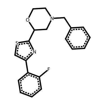 Fc1ccccc1-c1csc(C2CN(Cc3ccccc3)CCO2)n1